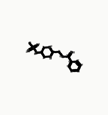 CS(=O)(=O)OC1COC(COC(=O)c2ccccc2)OC1